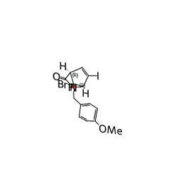 COc1ccc(CN2C(=O)[C@H]3C=C(I)[C@@H]2[C@@H]3Br)cc1